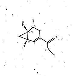 COC(=O)C1=C[C@@H]2C[C@@H]2[C@H](C)C1